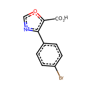 O=C(O)c1ocnc1-c1ccc(Br)cc1